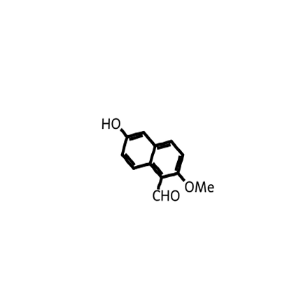 COc1ccc2cc(O)ccc2c1C=O